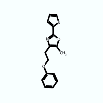 Cc1oc(-c2cccs2)nc1CCOc1c[c]ccc1